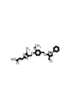 COc1cc(COc2nn(-c3ccccc3)cc2C=O)ccc1OCc1nc(/C=C/C(=O)O)oc1C